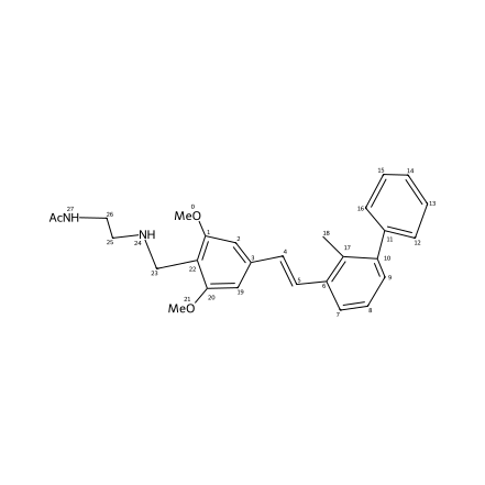 COc1cc(/C=C/c2cccc(-c3ccccc3)c2C)cc(OC)c1CNCCNC(C)=O